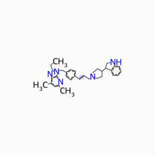 CCc1nc2c(C)cc(C)nc2n1Cc1ccc(/C=C/CN2CCC(C3CNc4ccccc43)CC2)cc1